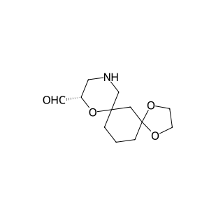 O=C[C@@H]1CNCC2(CCCC3(C2)OCCO3)O1